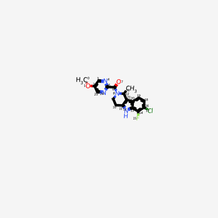 COc1cnc(C(=O)N2CCc3[nH]c4c(F)c(Cl)ccc4c3C2C)nc1